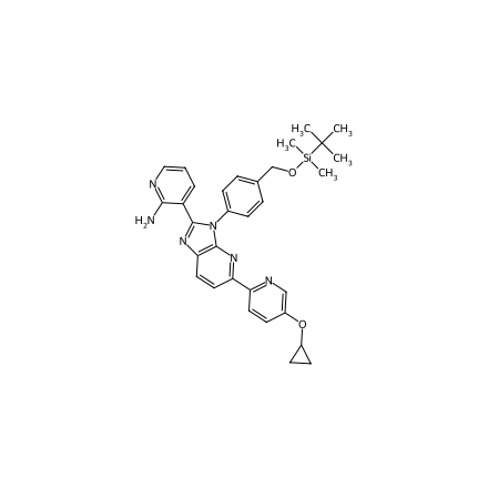 CC(C)(C)[Si](C)(C)OCc1ccc(-n2c(-c3cccnc3N)nc3ccc(-c4ccc(OC5CC5)cn4)nc32)cc1